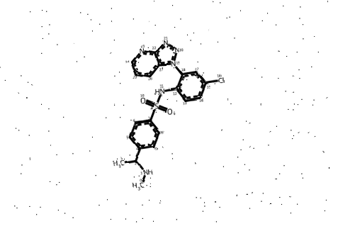 CNC(C)c1ccc(S(=O)(=O)Nc2ccc(Cl)cc2-n2nnc3ncccc32)cc1